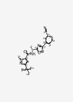 C[C@H](NC(=O)c1cc(C(F)(F)F)nn1C)c1nc(-c2ccnc(C#N)c2)no1